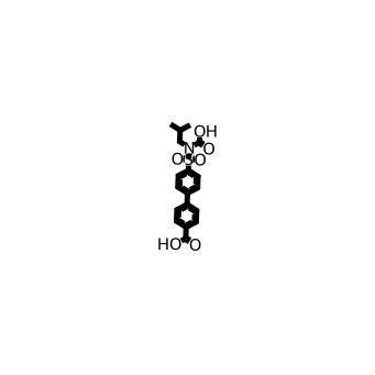 CC(C)CN(C(=O)O)S(=O)(=O)c1ccc(-c2ccc(C(=O)O)cc2)cc1